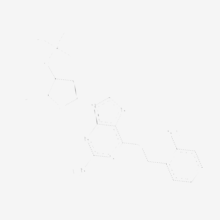 CC[C@H]1O[C@@H](n2cnc3c(OCc4ccccc4[N+](=O)[O-])nc(N)nc32)CC1O[Si](C)(C)C(C)(C)C